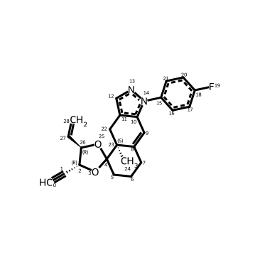 C#C[C@H]1OC2(CCCC3=Cc4c(cnn4-c4ccc(F)cc4)C[C@@]32C)O[C@@H]1C=C